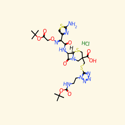 CC(C)(C)OC(=O)CON=C(C(=O)NC1C(=O)N2CC(CSc3nnnn3CCNC(=O)OC(C)(C)C)(C(=O)O)CS[C@H]12)c1csc(N)n1.Cl